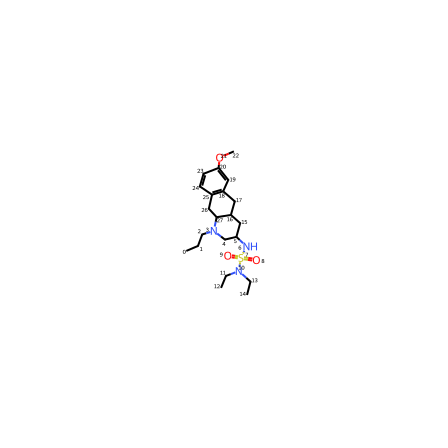 CCCN1CC(NS(=O)(=O)N(CC)CC)CC2Cc3cc(OC)ccc3CC21